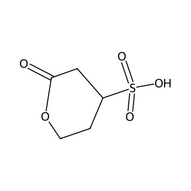 O=C1CC(S(=O)(=O)O)CCO1